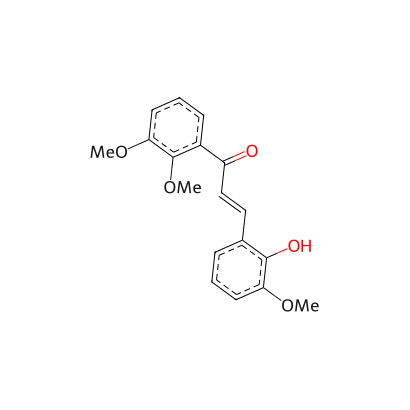 COc1cccc(/C=C/C(=O)c2cccc(OC)c2OC)c1O